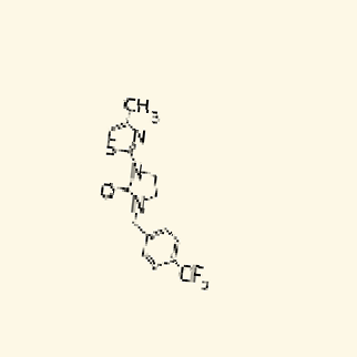 Cc1csc(N2CCN(Cc3ccc(C(F)(F)F)cc3)C2=O)n1